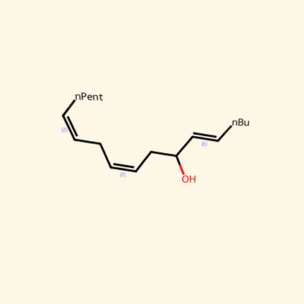 CCCC/C=C/C(O)C/C=C\C/C=C\CCCCC